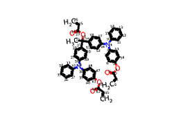 C=CC(=O)Oc1ccc(N(c2ccccc2)c2ccc(C(C)(OC(=O)C=C)c3ccc(N(c4ccccc4)c4ccc(OC(=O)C=C)cc4)cc3)cc2)cc1